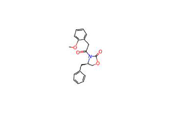 COc1ccccc1CC(=O)N1C(=O)OC[C@H]1Cc1ccccc1